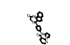 O=C1CN=C(c2ccc(NC(=O)c3cccnc3-n3cccc3)cc2)c2ccc3ccccc3c2N1